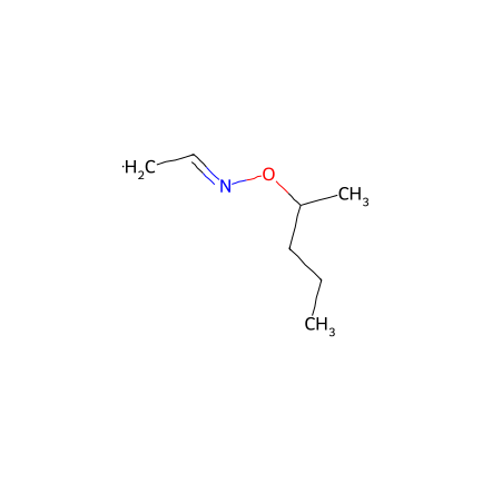 [CH2]C=NOC(C)CCC